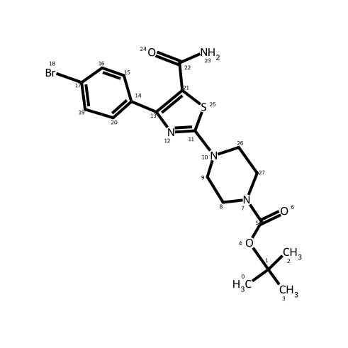 CC(C)(C)OC(=O)N1CCN(c2nc(-c3ccc(Br)cc3)c(C(N)=O)s2)CC1